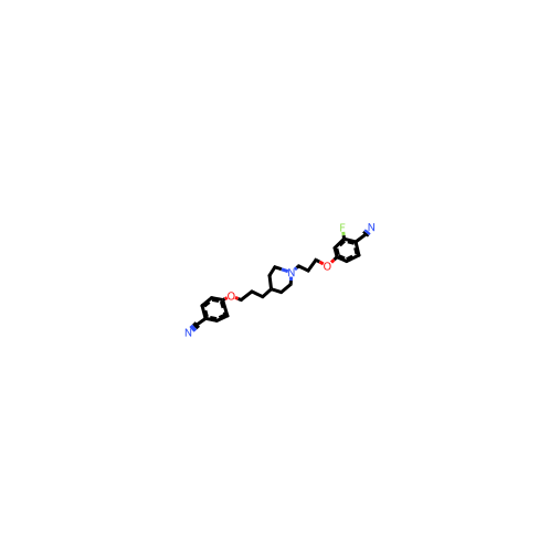 N#Cc1ccc(OCCCC2CCN(CCCOc3ccc(C#N)c(F)c3)CC2)cc1